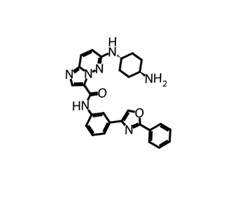 N[C@H]1CC[C@H](Nc2ccc3ncc(C(=O)Nc4cccc(-c5coc(-c6ccccc6)n5)c4)n3n2)CC1